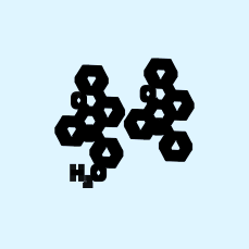 O.O=C(c1ccccc1)c1cccc(-c2ccccc2)c1C(=O)c1ccccc1.O=C(c1ccccc1)c1cccc(-c2ccccc2)c1C(=O)c1ccccc1